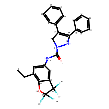 CCc1cc(NC(=O)N2CC(c3ccccc3)=C(c3ccccc3)N2)cc2c1OC(F)(F)C2(F)F